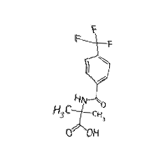 CC(C)(NC(=O)c1ccc(C(F)(F)F)cc1)C(=O)O